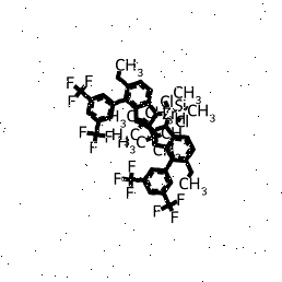 CCc1ccc2c(c1-c1cc(C(F)(F)F)cc(C(F)(F)F)c1)C=C(C(C)(C)C)[CH]2[Zr]([Cl])([Cl])([CH]1C(C(C)(C)C)=Cc2c1ccc(CC)c2-c1cc(C(F)(F)F)cc(C(F)(F)F)c1)[SiH](C)C